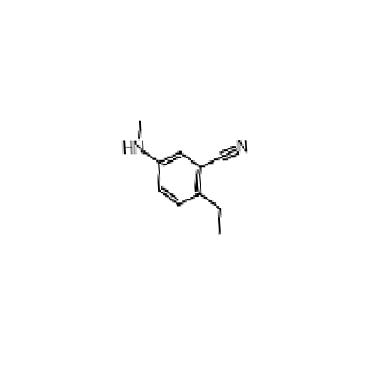 CCc1ccc(NC)cc1C#N